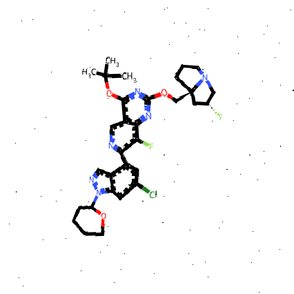 CC(C)(C)Oc1nc(OC[C@@]23CCCN2C[C@H](F)C3)nc2c(F)c(-c3cc(Cl)cc4c3cnn4C3CCCCO3)ncc12